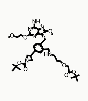 COCCOc1nc(N)c2nc(OC)n(Cc3ccc(C4CN(C(=O)OC(C)(C)C)C4)cc3CNCCCOCC(=O)OC(C)(C)C)c2n1